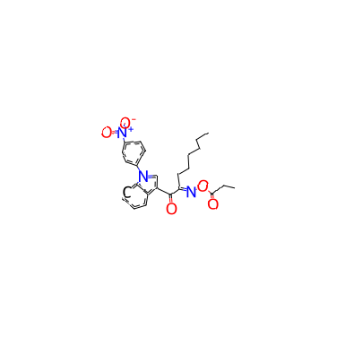 CCCCCC/C(=N\OC(=O)CC)C(=O)c1cn(-c2ccc([N+](=O)[O-])cc2)c2ccccc12